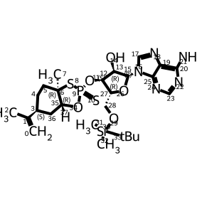 C=C(C)[C@H]1CC[C@@]2(C)SP(=S)(O[C@H]3[C@@H](O)[C@H](n4cnc5c(N)ncnc54)O[C@@H]3CO[Si](C)(C)C(C)(C)C)O[C@@H]2C1